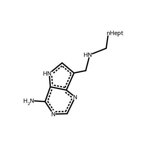 CCCCCCCCNCc1c[nH]c2c(N)ncnc12